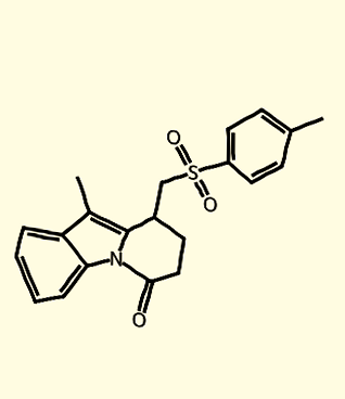 Cc1ccc(S(=O)(=O)CC2CCC(=O)n3c2c(C)c2ccccc23)cc1